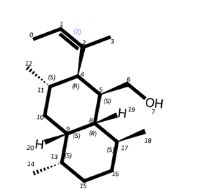 C/C=C(/C)[C@H]1[C@@H](CO)[C@H]2[C@@H](C[C@@H]1C)[C@@H](C)CC[C@@H]2C